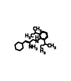 CC(C)c1cccc(C(C)C)c1NCC(N)=CC1CCCCC1